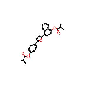 C=C(C)C(=O)Oc1ccc(-c2ccc(-c3ccc(OC(=O)C(=C)C)c4ccccc34)o2)cc1